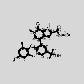 Cc1cc(F)cc(C)c1Oc1ncc(C(C)(C)O)cc1-c1cn(C)c(=O)c2[nH]c(C(=O)NC(C)(C)C)cc12